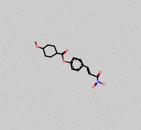 COC1CCC(C(=O)Oc2ccc(/C=C/C(=O)[N+](=O)[O-])cc2)CC1